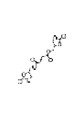 O=C(/C=C/C(=O)OCC1COC(=O)O1)OCC1COC(=O)O1